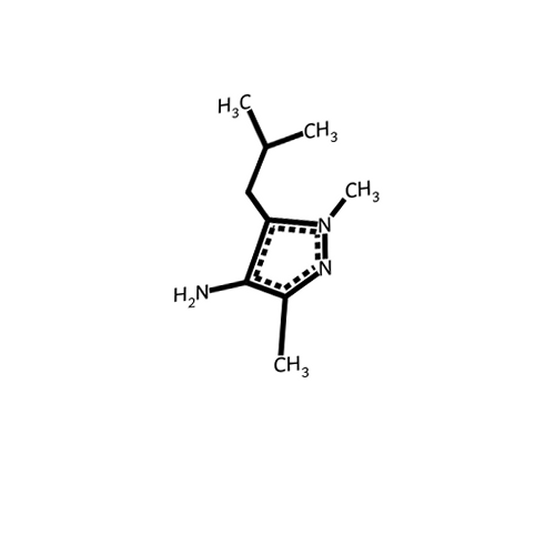 Cc1nn(C)c(CC(C)C)c1N